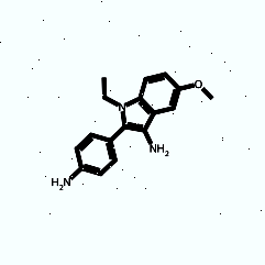 CCn1c(-c2ccc(N)cc2)c(N)c2cc(OC)ccc21